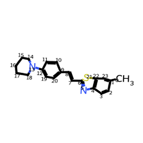 Cc1ccc2nc(C=Cc3ccc(N4CCCCC4)cc3)sc2c1